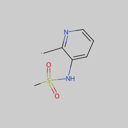 [CH2]c1ncccc1NS(C)(=O)=O